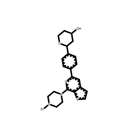 CCN1CCN(c2nc(-c3ccc(C4CC(O)CCO4)cc3)cc3ccsc23)CC1